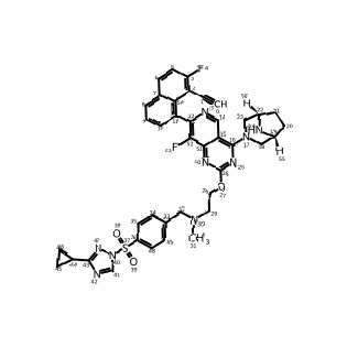 C#Cc1c(F)ccc2cccc(-c3ncc4c(N5C[C@H]6CC[C@@H](C5)N6)nc(OCCN(C)Cc5ccc(S(=O)(=O)n6cnc(C7CC7)n6)cc5)nc4c3F)c12